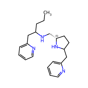 CCCC(Cc1ccccn1)NC[C@@H]1CCC(Cc2ccccn2)N1